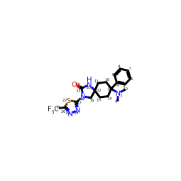 CN(C)C1(c2ccccc2)CCC2(CC1)CN(c1nnc(C(F)(F)F)s1)C(=O)N2